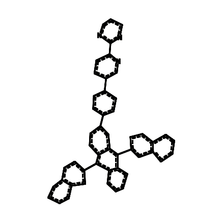 c1cnc(-c2ccc(-c3ccc(-c4ccc5c(-c6ccc7ccccc7c6)c6ccccc6c(-c6ccc7ccccc7c6)c5c4)cc3)cn2)nc1